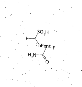 CCCCCC(F)S(=O)(=O)O.NC(=O)CF